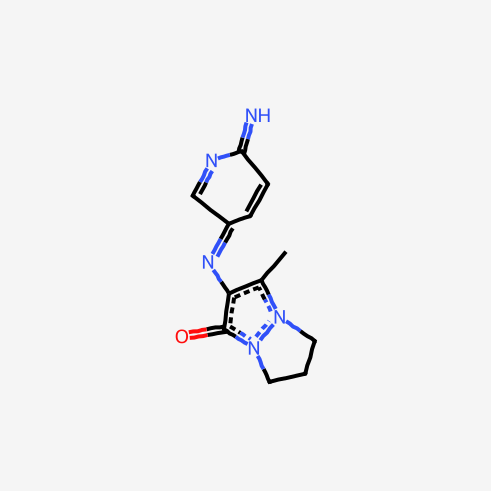 Cc1c(N=C2C=CC(=N)N=C2)c(=O)n2n1CCC2